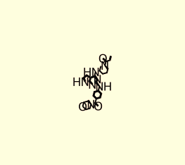 C=CC(=O)N1CCC[C@@H](Nc2nc(Nc3ccc(C(=O)N4CCOCC4)cc3)nc3[nH]ccc23)C1